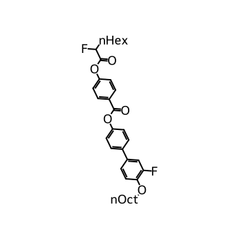 CCCCCCCCOc1ccc(-c2ccc(OC(=O)c3ccc(OC(=O)C(F)CCCCCC)cc3)cc2)cc1F